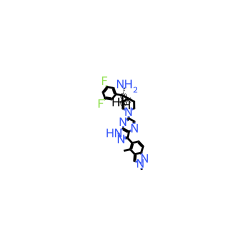 Cc1c(-c2n[nH]c3nc(N4CC[C@@H]5[C@H](C4)[C@@]5(CN)c4cc(F)cc(F)c4)cnc23)ccc2nn(C)cc12